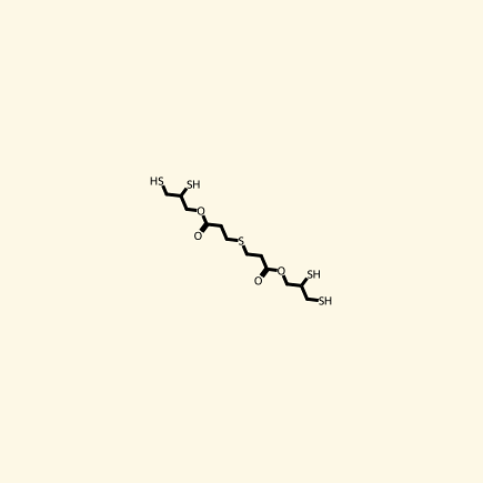 O=C(CCSCCC(=O)OCC(S)CS)OCC(S)CS